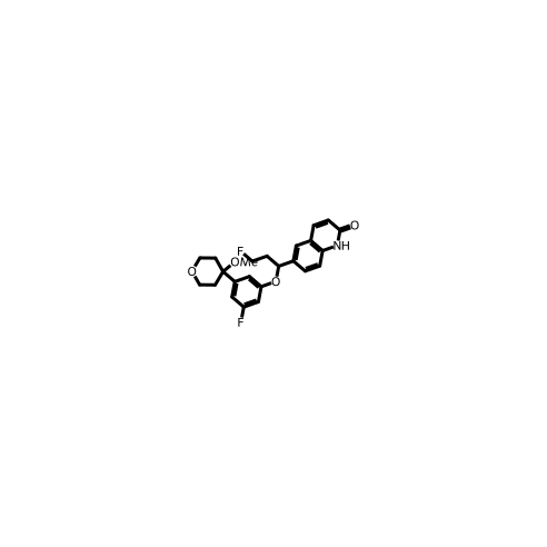 COC1(c2cc(F)cc(OC(CCF)c3ccc4[nH]c(=O)ccc4c3)c2)CCOCC1